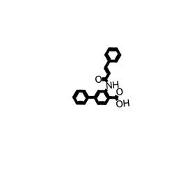 O=C(C=Cc1ccccc1)Nc1cc(-c2ccccc2)ccc1C(=O)O